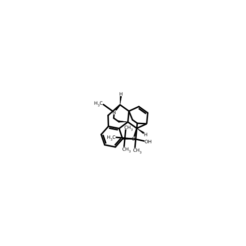 CN1CC[C@]23c4c5cccc4O[C@H]2C2C=CC3(CC2C(C)(O)C(C)(C)C)[C@H]1C5